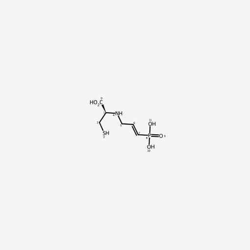 O=C(O)[C@H](CS)NCC=CP(=O)(O)O